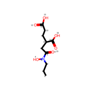 CCCN(O)C(=O)CC(CCC(=O)O)C(=O)O